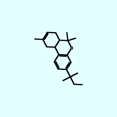 CCC(C)(C)c1ccc2c(c1)OC(C)(C)C1CC=C(C)CC21